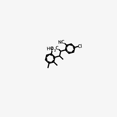 Cc1ccc(F)c(C(C)C(C(=O)O)c2ccc(Cl)cc2C#N)c1C